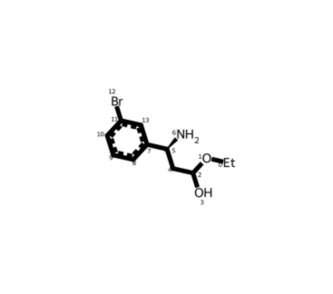 CCOC(O)C[C@H](N)c1cccc(Br)c1